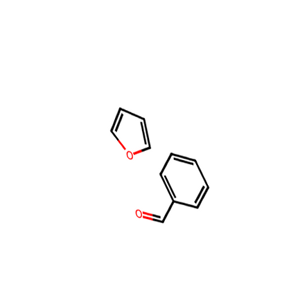 O=Cc1ccccc1.c1ccoc1